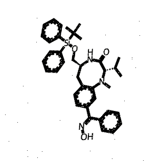 CC(C)[C@H]1C(=O)N[C@H](CO[Si](c2ccccc2)(c2ccccc2)C(C)(C)C)Cc2ccc(/C(=N/O)c3ccccc3)cc2N1C